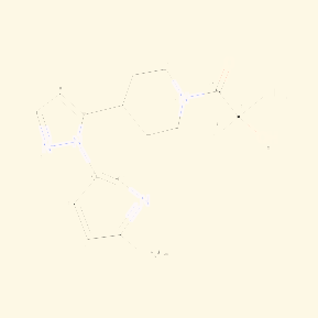 COc1ccc(-n2nccc2C2CCN(C(=O)C(C)(O)C(F)(F)F)CC2)cn1